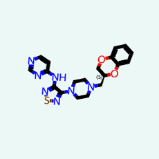 c1ccc2c(c1)OC[C@H](CN1CCN(c3nsnc3Nc3ccncn3)CC1)O2